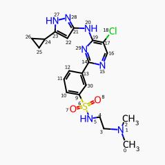 CN(C)CCNS(=O)(=O)c1cccc(-c2ncc(Cl)c(Nc3cc(C4CC4)[nH]n3)n2)c1